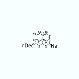 CCCCCCCCCCCCCC[CH2][Na].c1ccc2ccccc2c1